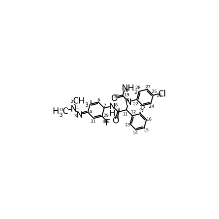 CN(C)/N=C1\C=CC(NC(=O)C(c2ccccc2)N(C(N)=O)c2ccc(Cl)cc2)C(F)=C1